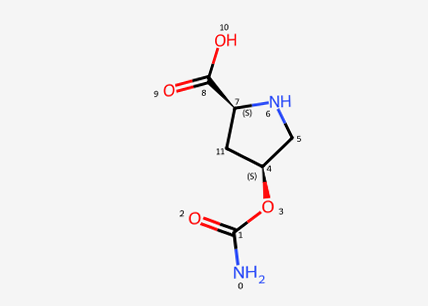 NC(=O)O[C@@H]1CN[C@H](C(=O)O)C1